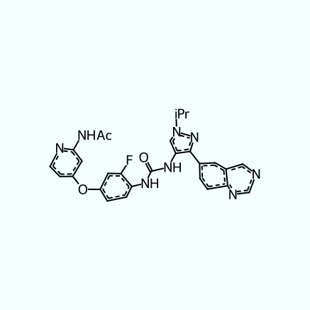 CC(=O)Nc1cc(Oc2ccc(NC(=O)Nc3cn(C(C)C)nc3-c3ccc4ncncc4c3)c(F)c2)ccn1